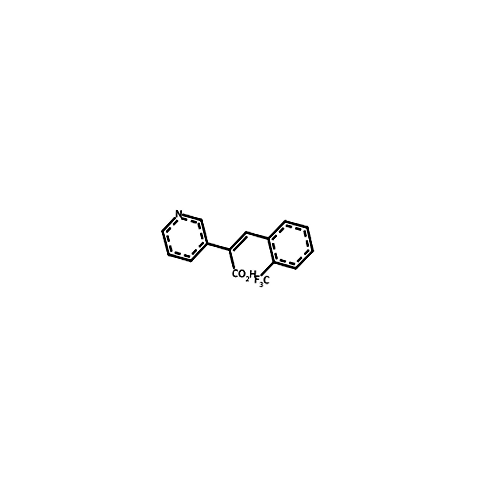 O=C(O)C(=Cc1ccccc1C(F)(F)F)c1cccnc1